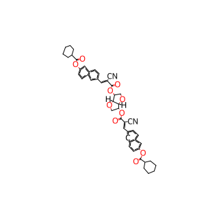 N#C/C(=C\c1ccc2cc(OC(=O)C3CCCCC3)ccc2c1)C(=O)O[C@H]1CO[C@H]2[C@@H]1OC[C@H]2OC(=O)/C(C#N)=C/c1ccc2cc(OC(=O)C3CCCCC3)ccc2c1